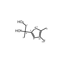 Cc1sc(C(C)(O)CO)cc1F